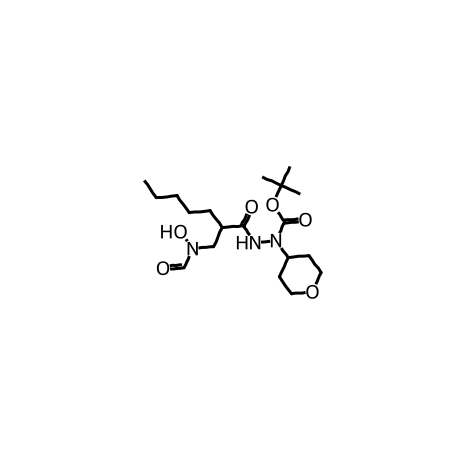 CCCCCC(CN(O)C=O)C(=O)NN(C(=O)OC(C)(C)C)C1CCOCC1